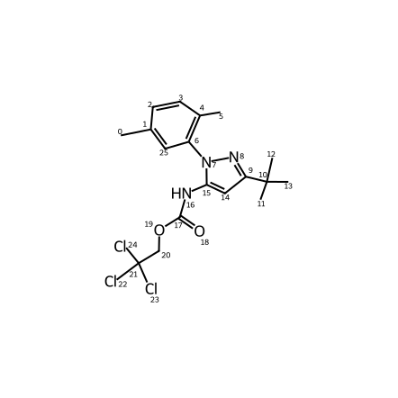 Cc1ccc(C)c(-n2nc(C(C)(C)C)cc2NC(=O)OCC(Cl)(Cl)Cl)c1